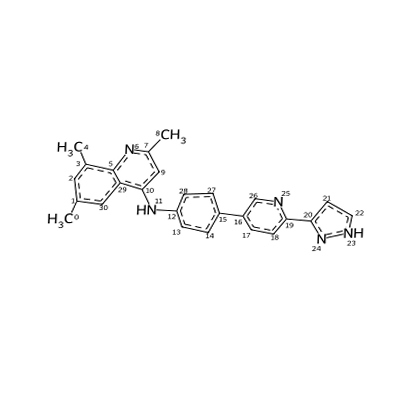 Cc1cc(C)c2nc(C)cc(Nc3ccc(-c4ccc(-c5cc[nH]n5)nc4)cc3)c2c1